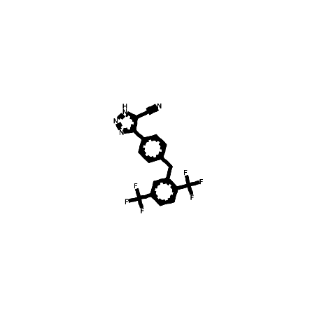 N#Cc1[nH]nnc1-c1ccc(Cc2cc(C(F)(F)F)ccc2C(F)(F)F)cc1